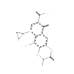 CC1Nc2c(cc3c(=O)c(C(=O)O)cn(C4CC4)c3c2F)NC1=O